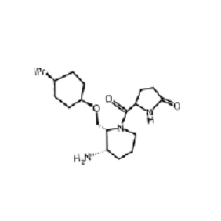 CC(C)[C@H]1CC[C@@H](OC[C@H]2[C@@H](N)CCCN2C(=O)C2CCC(=O)N2)CC1